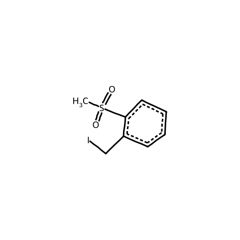 CS(=O)(=O)c1ccccc1CI